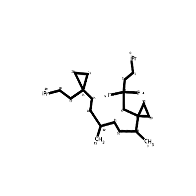 CC(C)CCC(F)(F)CC1(C(C)CCC(C)CCC2(CCC(C)C)CC2)CC1